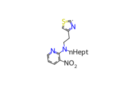 CCCCCCCN(CCc1cs[c]n1)c1ncccc1[N+](=O)[O-]